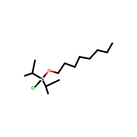 CCCCCCCCO[Si](Cl)(C(C)C)C(C)C